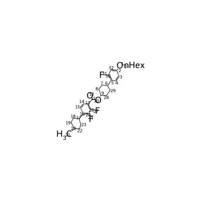 CCCCCCOc1ccc(C2CCC(OC(=O)c3ccc(C4CCC(C)CC4)c(F)c3F)CC2)c(F)c1